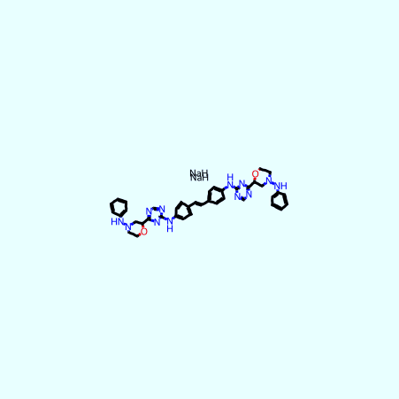 C(=Cc1ccc(Nc2ncnc(C3CN(Nc4ccccc4)CCO3)n2)cc1)c1ccc(Nc2ncnc(C3CN(Nc4ccccc4)CCO3)n2)cc1.[NaH].[NaH]